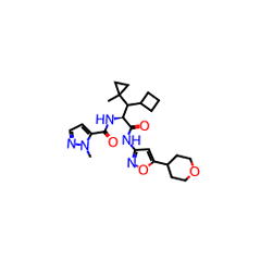 Cn1nccc1C(=O)N[C@H](C(=O)Nc1cc(C2CCOCC2)on1)C(C1CCC1)C1(C)CC1